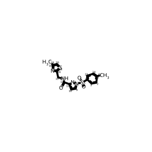 Cc1ccc(S(=O)(=O)n2ccc(C(=O)NCc3nc(C)cs3)n2)cc1